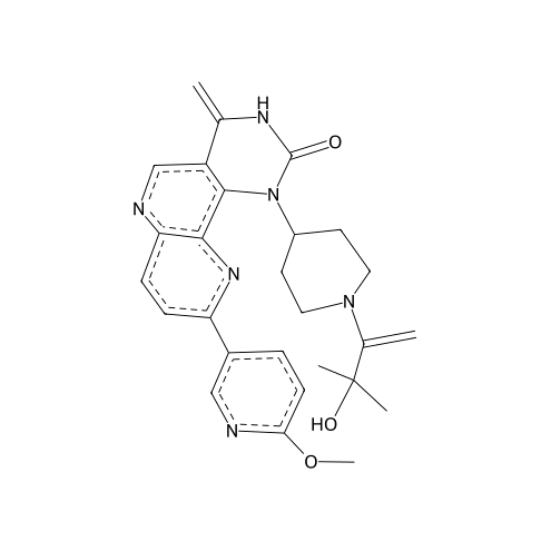 C=C1NC(=O)N(C2CCN(C(=C)C(C)(C)O)CC2)c2c1cnc1ccc(-c3ccc(OC)nc3)nc21